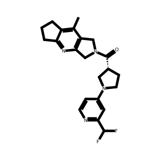 Cc1c2c(nc3c1CN(C(=O)[C@@H]1CCN(c4ccnc(C(F)F)c4)C1)C3)CCC2